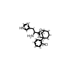 NC(Cc1c[nH]cn1)C1=NC2(c3ccccc3Cl)CCCC(O1)C2=O